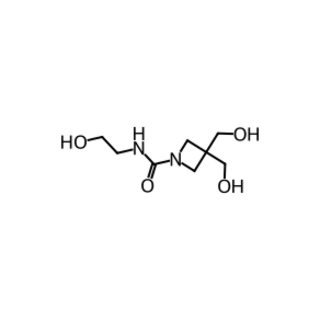 O=C(NCCO)N1CC(CO)(CO)C1